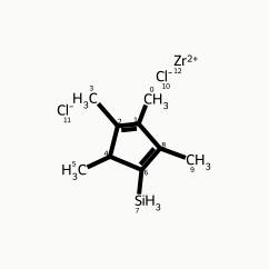 CC1=C(C)C(C)C([SiH3])=C1C.[Cl-].[Cl-].[Zr+2]